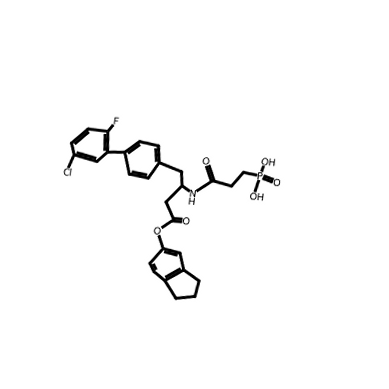 O=C(CCP(=O)(O)O)NC(CC(=O)Oc1ccc2c(c1)CCC2)Cc1ccc(-c2cc(Cl)ccc2F)cc1